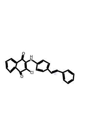 O=C1C(Cl)=C(Nc2ccc(/C=C/c3ccccc3)cc2)C(=O)c2ccccc21